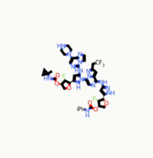 CC(C)NC(=O)O[C@H]1CO[C@@H](c2cc(Nc3ncc(-[n+]4[nH]c([C@H]5OC[C@@H](OC(=O)NC6(C)CC6)[C@@H]5F)cc4Nc4ncc(N5CCNCC5)c5nccn45)n4nc(CC(F)(F)F)cc34)n[nH]2)[C@H]1F